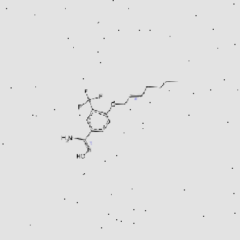 CCCC/C=C/COc1ccc(/C(N)=N/O)cc1C(F)(F)F